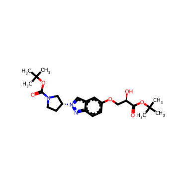 CC(C)(C)OC(=O)[C@H](O)COc1ccc2nn([C@@H]3CCN(C(=O)OC(C)(C)C)C3)cc2c1